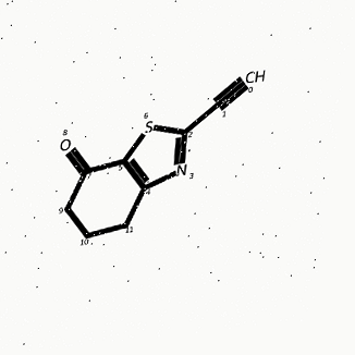 C#Cc1nc2c(s1)C(=O)CCC2